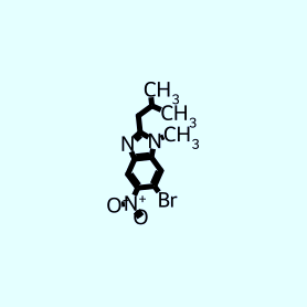 CC(C)Cc1nc2cc([N+](=O)[O-])c(Br)cc2n1C